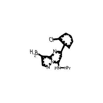 Bc1cnn2c(NCCC)cc(-c3ccccc3Cl)nc12